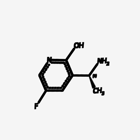 C[C@@H](N)c1cc(F)cnc1O